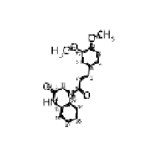 COc1ccc(C=CC(=O)N2CC(=O)Nc3ccccc32)cc1OC